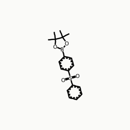 CC1(C)OB(c2ccc(S(=O)(=O)c3ccccc3)cc2)OC1(C)C